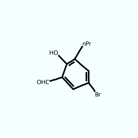 CCCc1cc(Br)cc(C=O)c1O